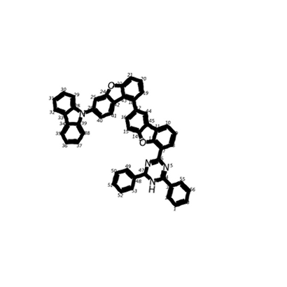 c1ccc(C2=NC(c3cccc4c3oc3ccc(-c5cccc6oc7cc(-n8c9ccccc9c9ccccc98)ccc7c56)cc34)=NC(c3ccccc3)N2)cc1